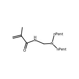 C=C(C)C(=O)NCN(CCCCC)CCCCC